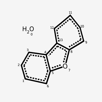 O.c1ccc2c(c1)oc1ccccc12